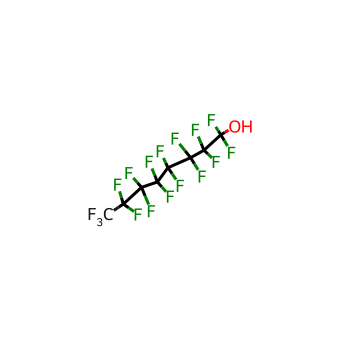 OC(F)(F)C(F)(F)C(F)(F)C(F)(F)C(F)(F)C(F)(F)C(F)(F)C(F)(F)F